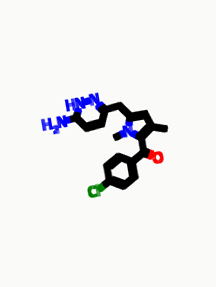 Cc1cc(CC2=NNC(N)C=C2)n(C)c1C(=O)c1ccc(Cl)cc1